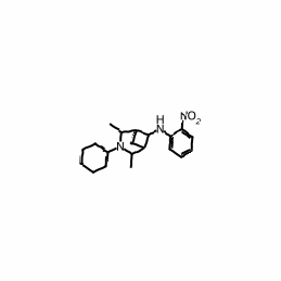 CC1C2CC(C2Nc2ccccc2[N+](=O)[O-])C(C)N1C1CCCCC1